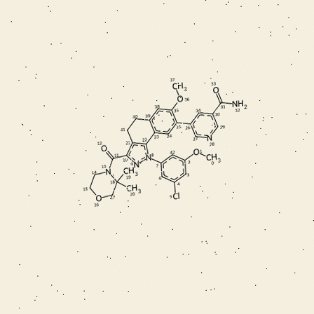 COc1cc(Cl)cc(-n2nc(C(=O)N3CCOCC3(C)C)c3c2-c2cc(-c4cncc(C(N)=O)c4)c(OC)cc2CC3)c1